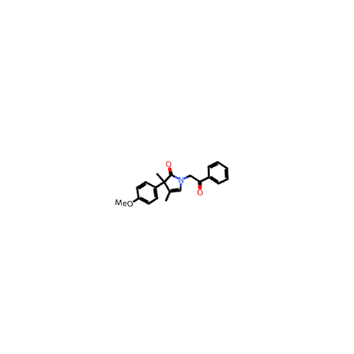 COc1ccc(C2(C)C(=O)N(CC(=O)c3ccccc3)C=C2C)cc1